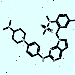 CN(C)C1CCN(c2ccc(Nc3ncc4ccn(Cc5cc(Cl)ccc5N(C)S(C)(=O)=O)c4n3)cc2)CC1